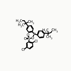 CCC(C)(C)c1ccc([I+](OS(=O)(=O)c2cc(Cl)ccc2Cl)c2ccc(C(C)(C)CC)cc2)cc1